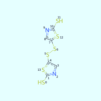 Sc1ncc(SSc2cnc(S)s2)s1